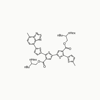 CCCCCCC(CCCC)COC(=O)c1cc(-c2cc(C(=O)OCC(CCCC)CCCCCC)c(-c3ccc(-c4ccc(C)c5nsnc45)s3)s2)sc1-c1ccc(C)s1